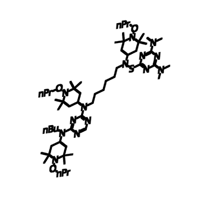 CCCCN(c1ncnc(N(CCCCCCN(Sc2nc(N(C)C)nc(N(C)C)n2)C2CC(C)(C)N(OCCC)C(C)(C)C2)C2CC(C)(C)N(OCCC)C(C)(C)C2)n1)C1CC(C)(C)N(OCCC)C(C)(C)C1